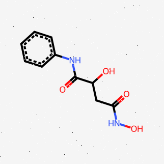 O=C(CC(O)C(=O)Nc1ccccc1)NO